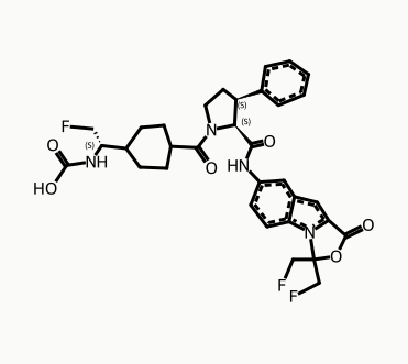 O=C(O)N[C@H](CF)C1CCC(C(=O)N2CC[C@@H](c3ccccc3)[C@H]2C(=O)Nc2ccc3c(c2)cc2n3C(CF)(CF)OC2=O)CC1